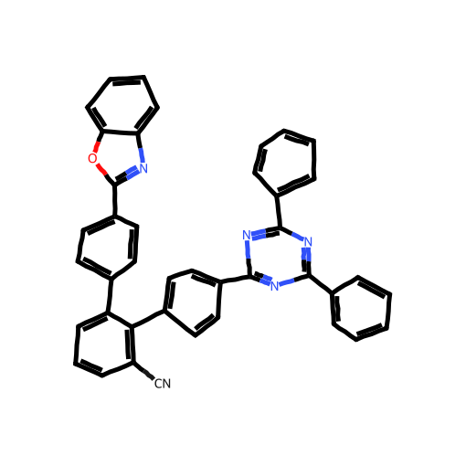 N#Cc1cccc(-c2ccc(-c3nc4ccccc4o3)cc2)c1-c1ccc(-c2nc(-c3ccccc3)nc(-c3ccccc3)n2)cc1